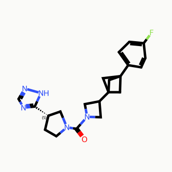 O=C(N1CC(C23CC(c4ccc(F)cc4)(C2)C3)C1)N1CC[C@H](c2ncn[nH]2)C1